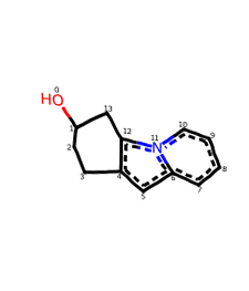 OC1CCc2cc3ccccn3c2C1